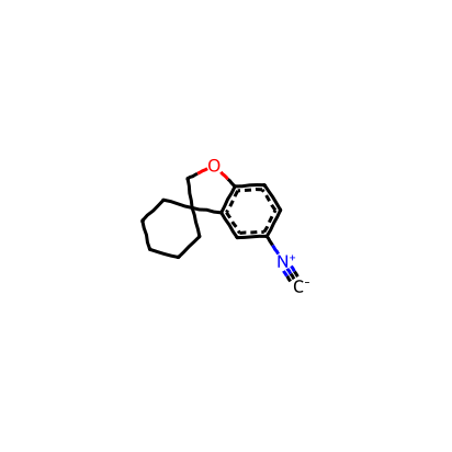 [C-]#[N+]c1ccc2c(c1)C1(CCCCC1)CO2